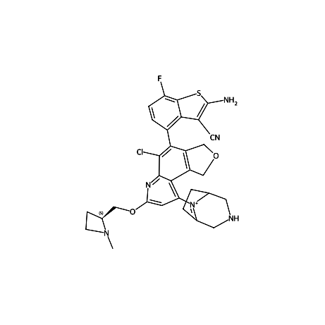 CN1CC[C@H]1COc1cc([N+]2=C3CCC2CNC3)c2c3c(c(-c4ccc(F)c5sc(N)c(C#N)c45)c(Cl)c2n1)COC3